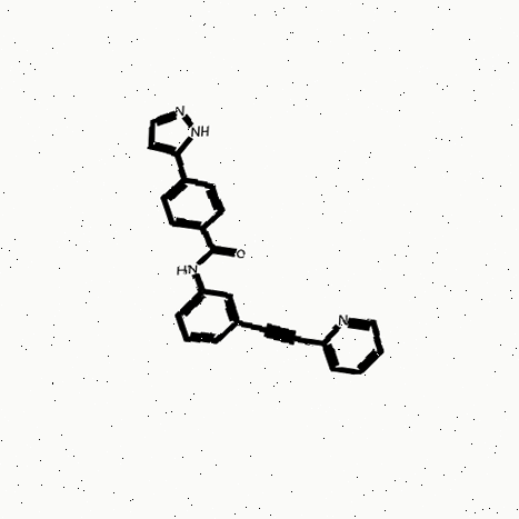 O=C(Nc1cccc(C#Cc2ccccn2)c1)c1ccc(-c2ccn[nH]2)cc1